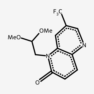 COC(Cn1c(=O)ccc2ncc(C(F)(F)F)cc21)OC